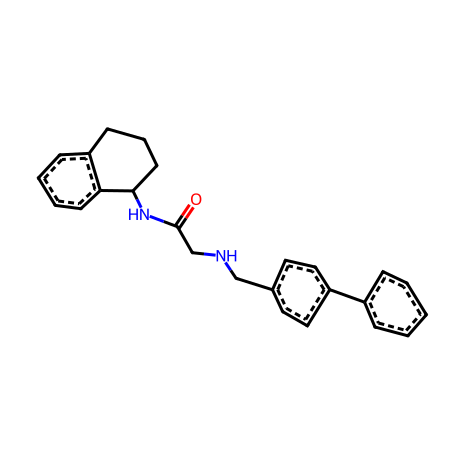 O=C(CNCc1ccc(-c2ccccc2)cc1)NC1CCCc2ccccc21